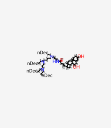 CCCCCCCCCCCCN(CCCCN(CCCCCCCCCCCC)CCCN(CCCCCCCCCCCC)CCCCCCCCCCCC)CCCNC(=O)CC[C@@H](C)C1CCC2C3C(O)CC4C[C@H](O)CCC4(C)C3CCC21C